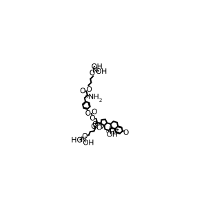 C[C@]12C=CC(=O)C=C1CCC1C3CC[C@](OC(=O)CCCON(O)O)(C(=O)COC(=O)Oc4ccc(C[C@H](N)C(=O)OCCCCON(O)O)cc4)[C@@]3(C)C[C@H](O)[C@@H]12